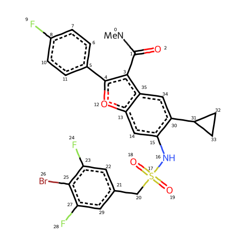 CNC(=O)c1c(-c2ccc(F)cc2)oc2cc(NS(=O)(=O)Cc3cc(F)c(Br)c(F)c3)c(C3CC3)cc12